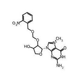 C[n+]1cn([C@@H]2OCC(O)C2OCOCc2ccccc2[N+](=O)[O-])c2nc(N)[nH]c(=O)c21